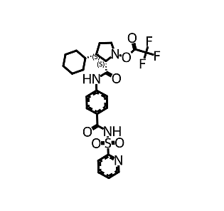 O=C(NS(=O)(=O)c1ccccn1)c1ccc(NC(=O)[C@@H]2[C@H](C3CCCCC3)CCN2OC(=O)C(F)(F)F)cc1